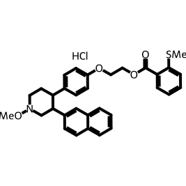 CON1CCC(c2ccc(OCCOC(=O)c3ccccc3SC)cc2)C(c2ccc3ccccc3c2)C1.Cl